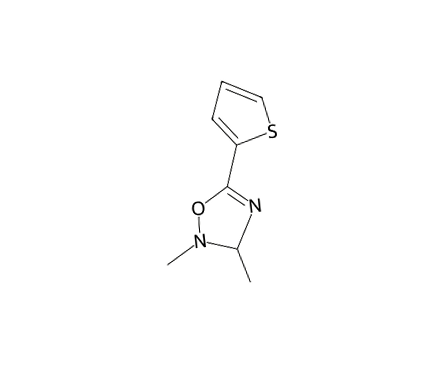 CC1N=C(c2cccs2)ON1C